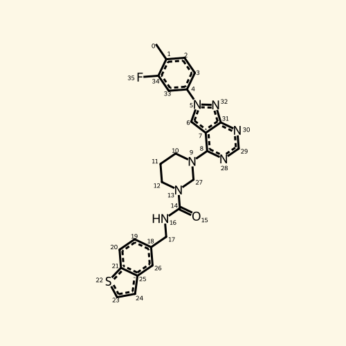 Cc1ccc(-n2cc3c(N4CCCN(C(=O)NCc5ccc6sccc6c5)C4)ncnc3n2)cc1F